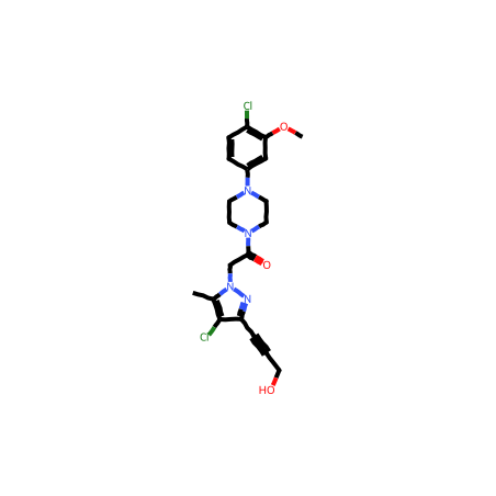 COc1cc(N2CCN(C(=O)Cn3nc(C#CCO)c(Cl)c3C)CC2)ccc1Cl